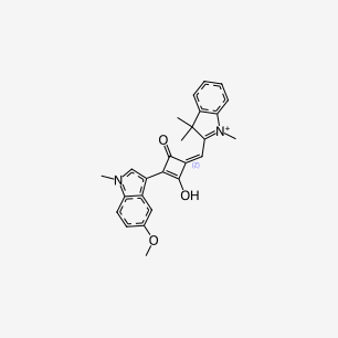 COc1ccc2c(c1)c(C1=C(O)/C(=C/C3=[N+](C)c4ccccc4C3(C)C)C1=O)cn2C